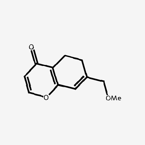 COCC1=Cc2occc(=O)c2CC1